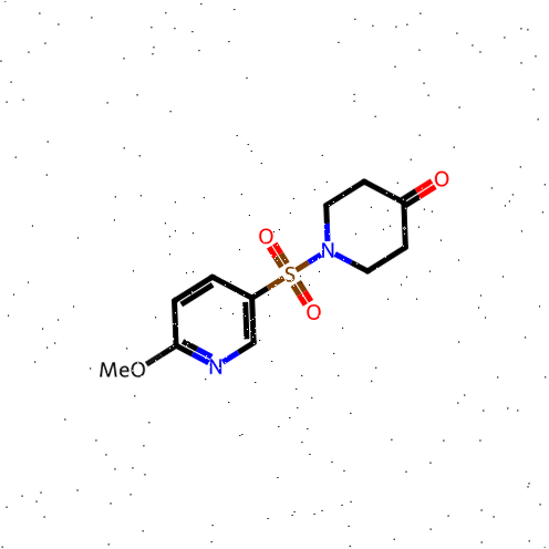 COc1ccc(S(=O)(=O)N2CCC(=O)CC2)cn1